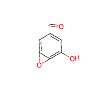 C=O.Oc1cccc2c1O2